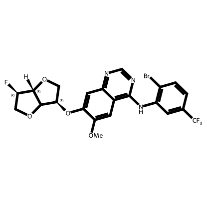 COc1cc2c(Nc3cc(C(F)(F)F)ccc3Br)ncnc2cc1O[C@@H]1CO[C@@H]2C1OC[C@H]2F